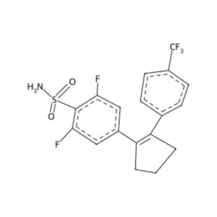 NS(=O)(=O)c1c(F)cc(C2=C(c3ccc(C(F)(F)F)cc3)CCC2)cc1F